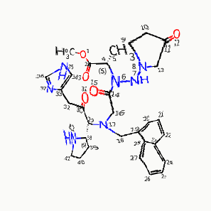 COC(=O)[C@H](C)N(NN1CCC(=O)C1)C(=O)CN(Cc1cccc2ccccc12)C(C(=O)Cc1c[nH]cn1)[C@@H]1CCCN1